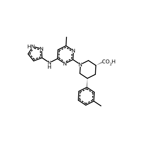 Cc1cccc([C@H]2C[C@@H](C(=O)O)CN(c3nc(C)cc(Nc4cc[nH]n4)n3)C2)c1